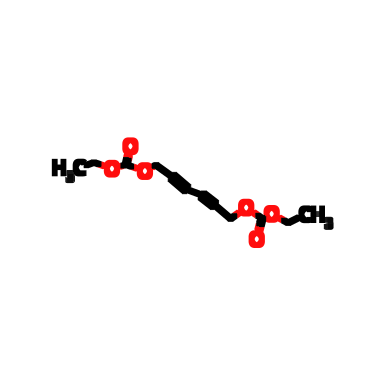 CCOC(=O)OCC#CC#CCOC(=O)OCC